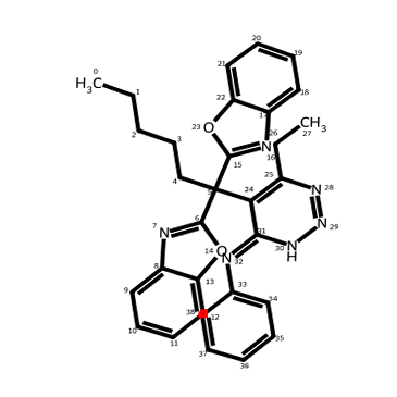 CCCCCC(c1nc2ccccc2o1)(c1nc2ccccc2o1)c1c(CC)nn[nH]c1=Nc1ccccc1